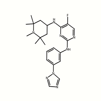 CN1C(C)(C)CC(Nc2nc(Nc3cccc(-n4cncn4)c3)ncc2F)CC1(C)C